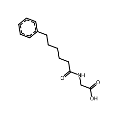 O=C(O)CNC(=O)CCCCCc1ccccc1